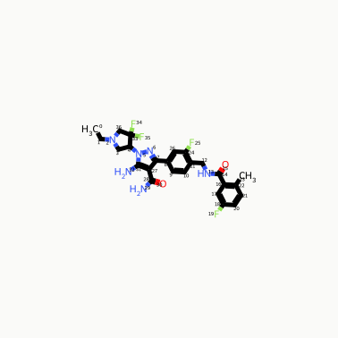 CCN1CC(n2nc(-c3ccc(CNC(=O)c4cc(F)ccc4C)c(F)c3)c(C(N)=O)c2N)C(F)(F)C1